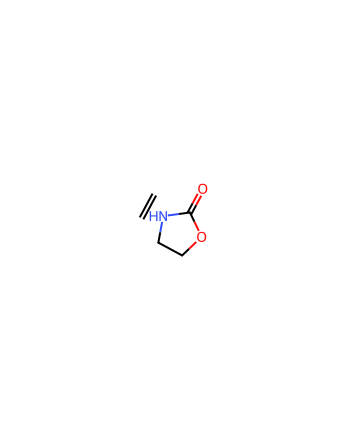 C=C.O=C1NCCO1